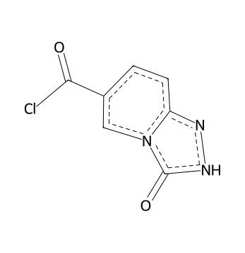 O=C(Cl)c1ccc2n[nH]c(=O)n2c1